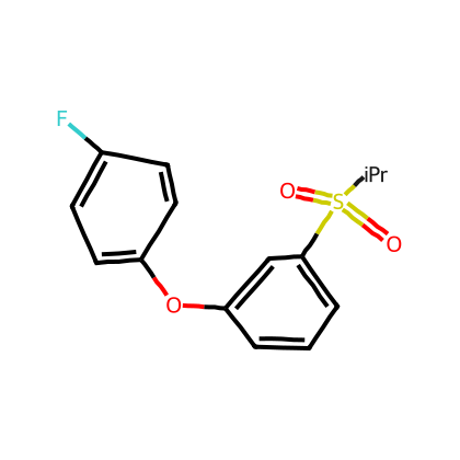 CC(C)S(=O)(=O)c1cccc(Oc2ccc(F)cc2)c1